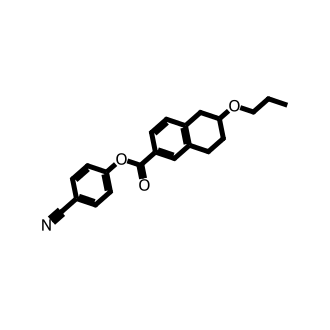 CCCOC1CCc2cc(C(=O)Oc3ccc(C#N)cc3)ccc2C1